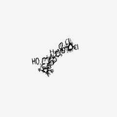 O=C(O)C[C@H](NC(=O)C1CCN(C(=O)OCc2ccc(Cl)cc2Cl)CC1)C(=O)COc1c(F)c(F)cc(F)c1F